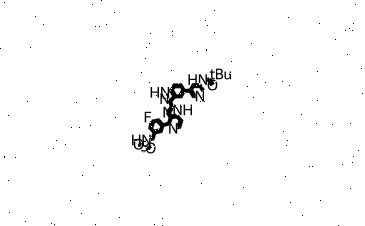 CC(C)(C)C(=O)Nc1cncc(-c2ccc3[nH]nc(-c4nc5c(-c6cc(F)cc(CNS(C)(=O)=O)c6)nccc5[nH]4)c3c2)c1